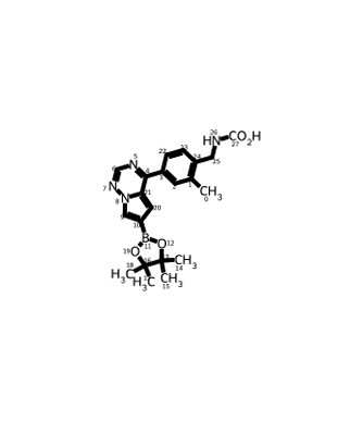 Cc1cc(-c2ncnn3cc(B4OC(C)(C)C(C)(C)O4)cc23)ccc1CNC(=O)O